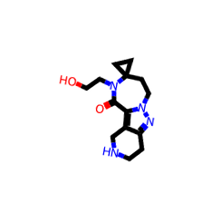 O=C1c2c3c(nn2CCC2(CC2)N1CCO)CCNC3